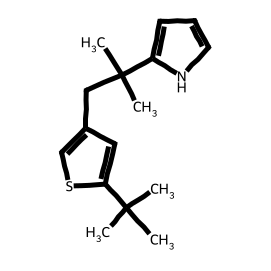 CC(C)(C)c1cc(CC(C)(C)c2ccc[nH]2)cs1